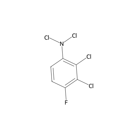 Fc1ccc(N(Cl)Cl)c(Cl)c1Cl